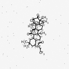 CC1(C)CC[C@]2(C(=O)NCC(F)(F)F)CC[C@]3(C)C(C(=O)C=C4[C@@]5(C)[C@H]6O[C@@]6(C#N)C(=O)C(C)(C)[C@@H]5CC[C@]43C)C2C1